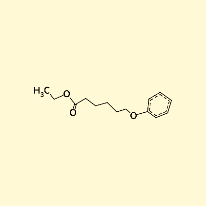 CCOC(=O)CCCCCOc1ccccc1